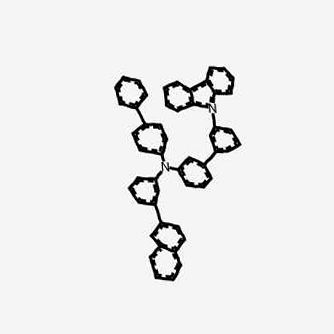 c1ccc(-c2ccc(N(c3cccc(-c4cccc(-n5c6ccccc6c6ccccc65)c4)c3)c3cccc(-c4ccc5ccccc5c4)c3)cc2)cc1